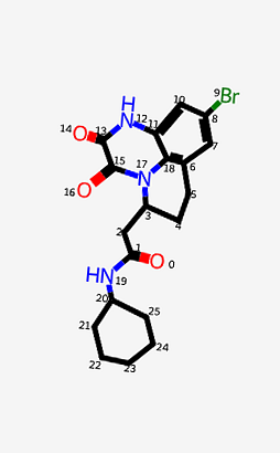 O=C(CC1CCc2cc(Br)cc3[nH]c(=O)c(=O)n1c23)NC1CCCCC1